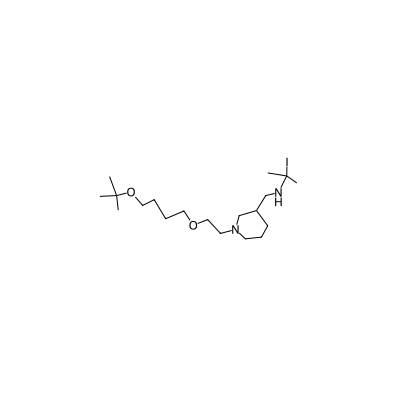 CC(C)(I)NCC1CCCN(CCOCCCCOC(C)(C)C)C1